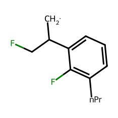 [CH2]C(CF)c1cccc(CCC)c1F